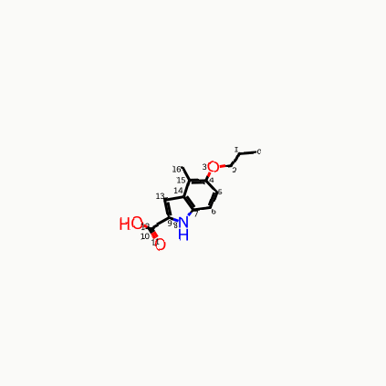 CCCOc1ccc2[nH]c(C(=O)O)cc2c1C